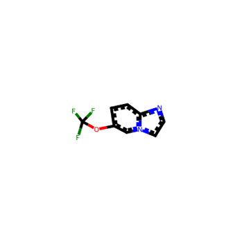 FC(F)(F)Oc1ccc2nccn2c1